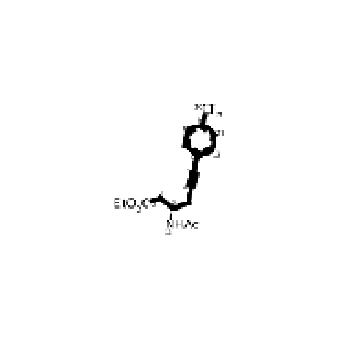 CCOC(=O)C[C@H](CC#Cc1ccc(C(F)(F)F)cc1)NC(C)=O